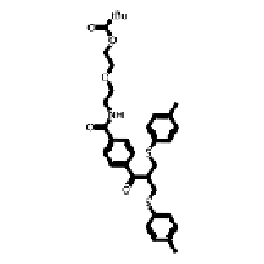 Cc1ccc(SCC(CSc2ccc(C)cc2)C(=O)c2ccc(C(=O)NCCOCCOC(=O)C(C)(C)C)cc2)cc1